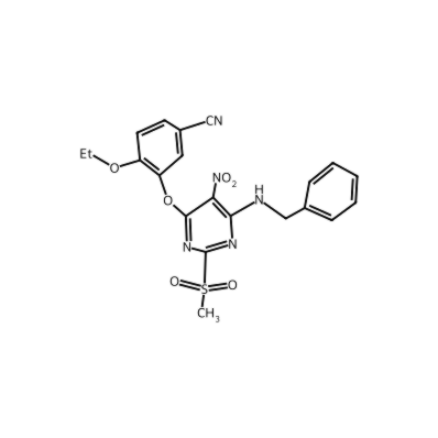 CCOc1ccc(C#N)cc1Oc1nc(S(C)(=O)=O)nc(NCc2ccccc2)c1[N+](=O)[O-]